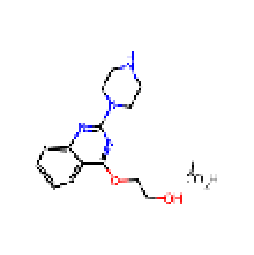 CC(=O)O.OCCOc1nc(N2CCNCC2)nc2ccccc12